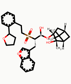 CC1(C)[C@@H]2C[C@@H](OB(O)[C@H](Cc3coc4ccccc34)S(=O)(=O)CCc3ccccc3C3CCCO3)[C@@](C)(O)[C@H]1C2